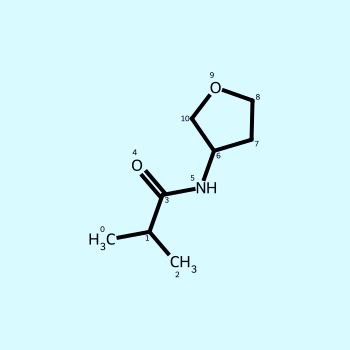 CC(C)C(=O)NC1CCOC1